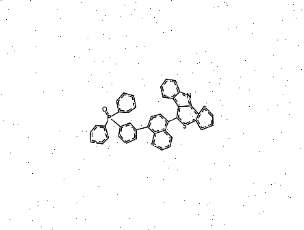 O=P(c1ccccc1)(c1ccccc1)c1cccc(-c2ccc(-c3sc4ccccc4c4nc5ccccc5c3-4)c3ccccc23)c1